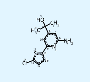 CC(C)(O)c1cc(N)nc(-c2ncc(Cl)s2)c1